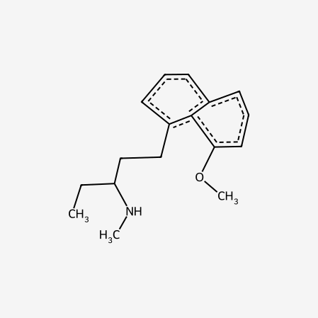 CCC(CCc1cccc2cccc(OC)c12)NC